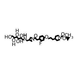 CC1(OC(=O)N2CCC(CCCOc3ccc(CC(=O)N4CC(CNCC(O)C(O)C(O)C(O)CO)C4)c(F)c3)CC2)CC1